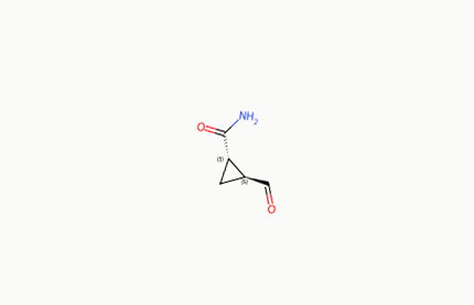 NC(=O)[C@H]1C[C@@H]1C=O